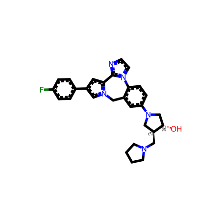 O[C@H]1CN(c2ccc3c(c2)Cn2cc(-c4ccc(F)cc4)cc2-c2nccn2-3)C[C@@H]1CN1CCCC1